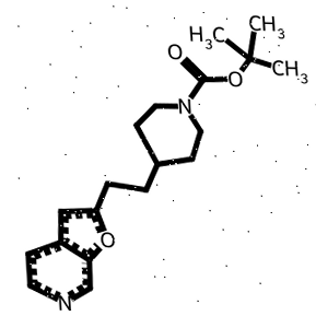 CC(C)(C)OC(=O)N1CCC(CCc2cc3ccncc3o2)CC1